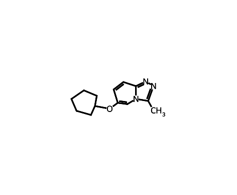 Cc1nnc2ccc(OC3CCCCC3)cn12